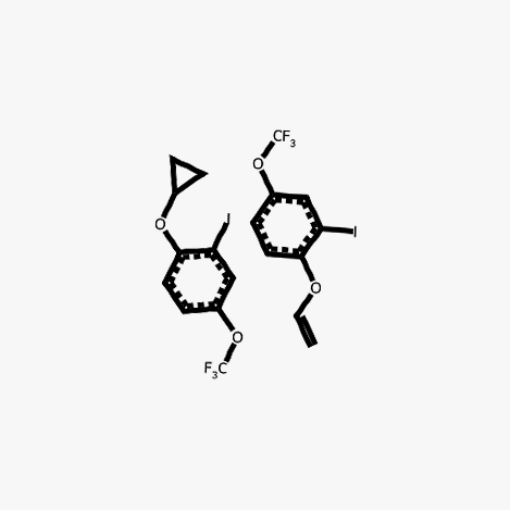 C=COc1ccc(OC(F)(F)F)cc1I.FC(F)(F)Oc1ccc(OC2CC2)c(I)c1